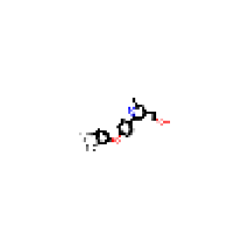 Cc1cc(CCO)cc(-c2ccc(Oc3ccc(C(F)(F)F)c(C#N)c3)cc2)n1